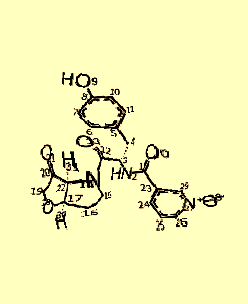 O=C(N[C@@H](Cc1ccc(O)cc1)C(=O)N1CC[C@H]2OCC(=O)[C@H]21)c1ccc[n+]([O-])c1